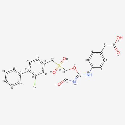 O=C(O)Cc1ccc(NC2=NC(=O)C(S(=O)(=O)Cc3ccc(-c4ccccc4)c(F)c3)O2)cc1